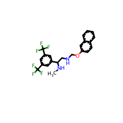 CNC(CNCOc1ccc2ccccc2c1)c1cc(C(F)(F)F)cc(C(F)(F)F)c1